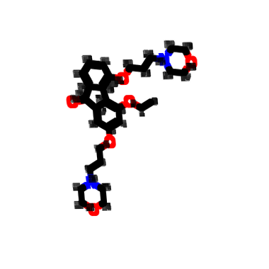 CCOc1cc(OCCCN2CCOCC2)cc2c1-c1c(OCCCN3CCOCC3)cccc1C2=O